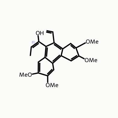 C=Cc1c(/C(O)=C\C)c2cc(OC)c(OC)cc2c2cc(OC)c(OC)cc12